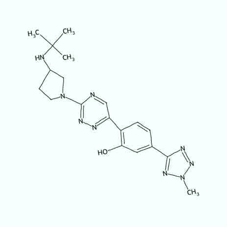 Cn1nnc(-c2ccc(-c3cnc(N4CCC(NC(C)(C)C)C4)nn3)c(O)c2)n1